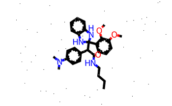 CCCCNC(=O)C(c1ccc(N(C)C)cc1)C1(c2cccc(OC)c2OC)Nc2ccccc2N1